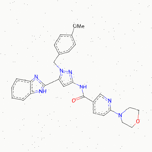 COc1ccc(Cn2nc(NC(=O)c3ccc(N4CCOCC4)nc3)cc2-c2nc3ccccc3[nH]2)cc1